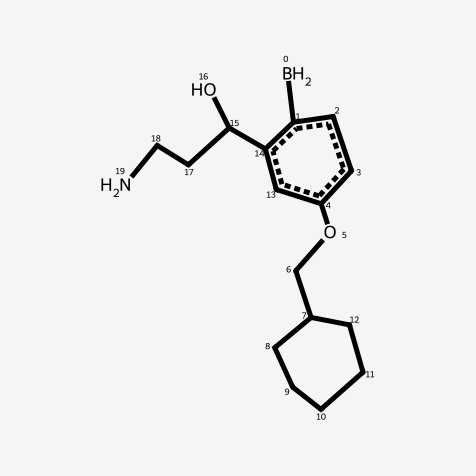 Bc1ccc(OCC2CCCCC2)cc1C(O)CCN